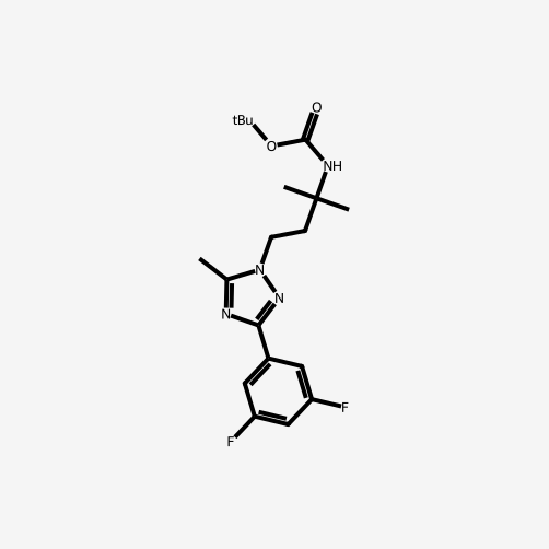 Cc1nc(-c2cc(F)cc(F)c2)nn1CCC(C)(C)NC(=O)OC(C)(C)C